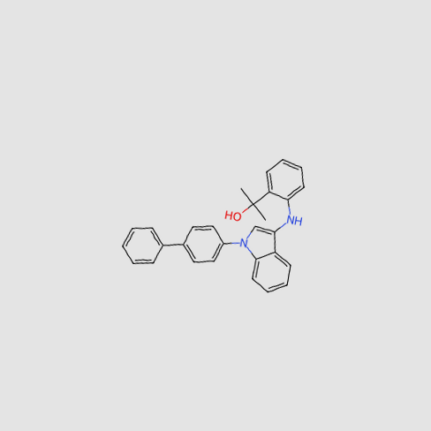 CC(C)(O)c1ccccc1Nc1cn(-c2ccc(-c3ccccc3)cc2)c2ccccc12